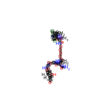 COc1cc(C(=O)NCCOCCOCCOCCOCCC(=O)N[C@@H](C(=O)N[C@@H](CCCNC(N)=O)C(=O)Nc2ccc(COC(=O)N3CCC(NC(=O)O[C@H]4CC[C@]5(C)C6CC[C@]7(C)[C@@H](C8=CCC(=O)C=C8)CC[C@]7(O)C6CC[C@@H]5C4)CC3)cc2)C(C)C)ccc1NC(=O)[C@@H]1N[C@@H](CC(C)(C)C)[C@](C#N)(c2ccc(Cl)cc2F)[C@H]1c1cccc(Cl)c1F